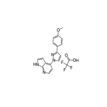 COc1ccc(-c2ccn(-c3ccnc4[nH]ccc34)n2)cc1.O=C(O)C(F)(F)F